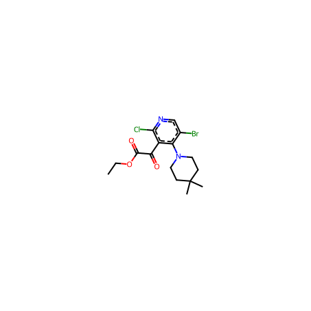 CCOC(=O)C(=O)c1c(Cl)ncc(Br)c1N1CCC(C)(C)CC1